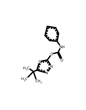 CC(C)(C)c1nnc(OC(=O)Nc2ccccc2)s1